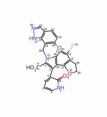 O=C(O)c1c(-c2ccc[nH]c2=O)c2c3c(c(F)cc2n1Cc1c(Cl)ccc2cn[nH]c12)CCO3